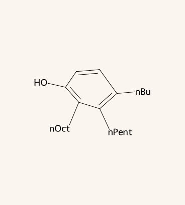 CCCCCCCCc1c(O)ccc(CCCC)c1CCCCC